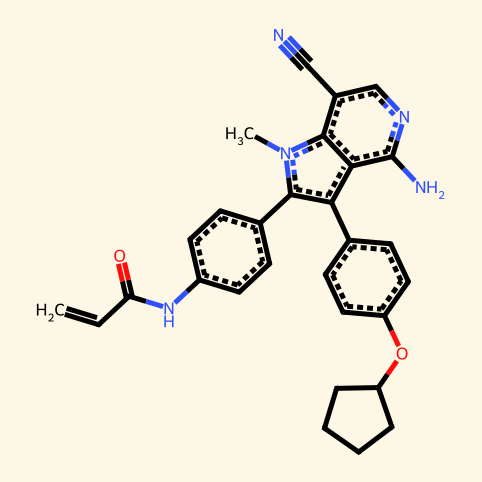 C=CC(=O)Nc1ccc(-c2c(-c3ccc(OC4CCCC4)cc3)c3c(N)ncc(C#N)c3n2C)cc1